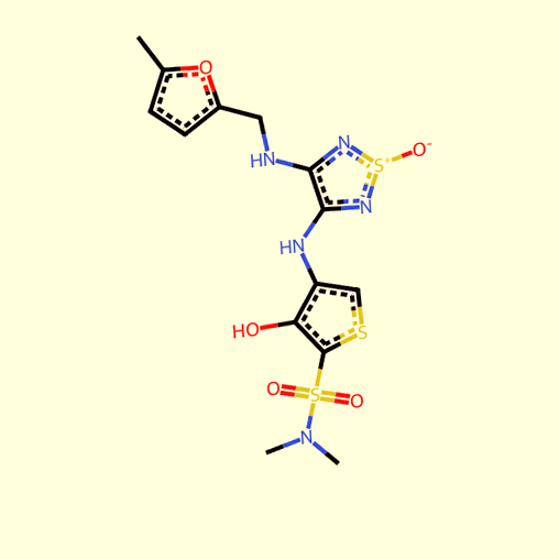 Cc1ccc(CNc2n[s+]([O-])nc2Nc2csc(S(=O)(=O)N(C)C)c2O)o1